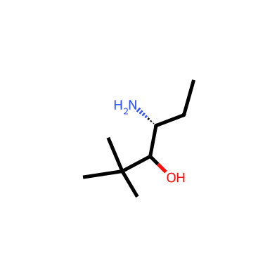 CC[C@@H](N)C(O)C(C)(C)C